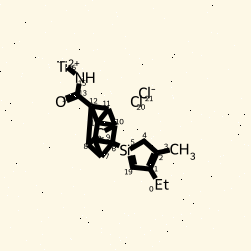 CCC1=C(C)C[Si](C23C4C5CC26C2C5(C(=O)[NH][Ti+2])C26C43)=C1.[Cl-].[Cl-]